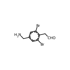 NCc1cc(Br)c(CC=O)c(Br)c1